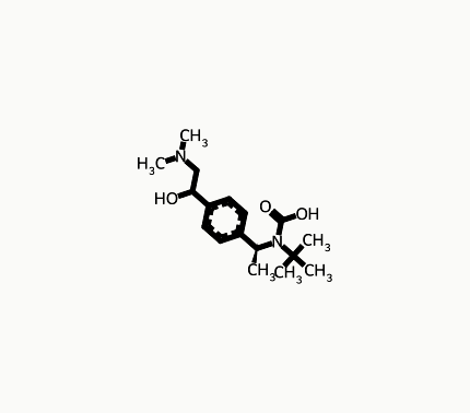 C[C@@H](c1ccc(C(O)CN(C)C)cc1)N(C(=O)O)C(C)(C)C